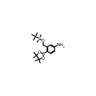 CC1(C)OB(c2ccc(N)cc2CO[Si](C)(C)C(C)(C)C)OC1(C)C